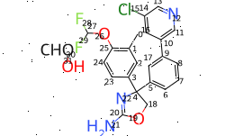 Cc1cc(C2(c3cccc(-c4cncc(Cl)c4)c3)COC(N)=N2)ccc1OC(F)F.O=CO